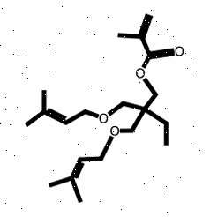 C=C(C)C(=O)OCC(CC)(COCC=C(C)C)COCC=C(C)C